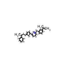 C=C(CCC1=CC=C(c2cccc(Cc3cccc(C(C)C)c3)n2)C1)c1ccccc1